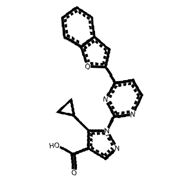 O=C(O)c1cnn(-c2nccc(-c3cc4ccccc4o3)n2)c1C1CC1